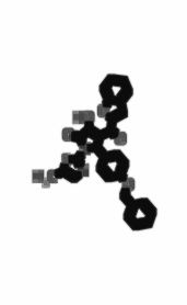 Cc1cnc(N2C(=O)C(O)=C(C(=O)c3cc4ccccc4o3)C2c2ccc(OCc3ccccc3)cc2)s1